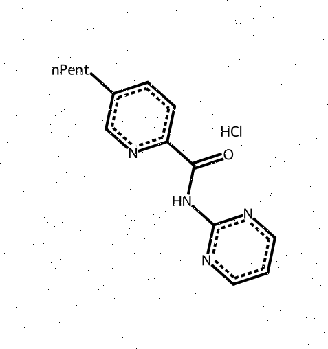 CCCCCc1ccc(C(=O)Nc2ncccn2)nc1.Cl